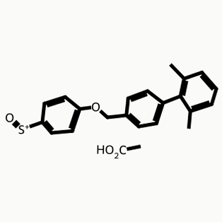 CC(=O)O.Cc1cccc(C)c1-c1ccc(COc2ccc([S+]=O)cc2)cc1